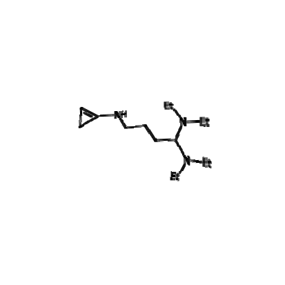 CCN(CC)C(CCCNC1=CC1)N(CC)CC